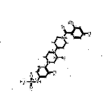 CC[C@H]1CN(c2ncc(NS(C)(=O)=O)cc2Cl)CCN1C1CCN(C(=O)c2ccc(Cl)cc2O)CC1